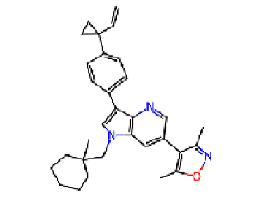 C=CC1(c2ccc(-c3cn(CC4(C)CCCCC4)c4cc(-c5c(C)noc5C)cnc34)cc2)CC1